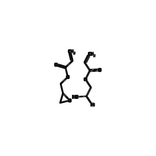 C=CC(=O)OCC(O)CC.C=CC(=O)OCC1CO1